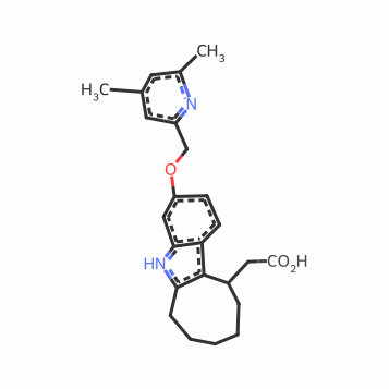 Cc1cc(C)nc(COc2ccc3c4c([nH]c3c2)CCCCCC4CC(=O)O)c1